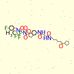 C[C@H](N(Cc1ccc(F)cc1)C(=O)CN1C(=O)O[C@@]2(CCc3cc(NC(=O)CCC(=O)NCCCCCC(=O)C4CCCC4)ccc32)C1=O)C(F)(F)F